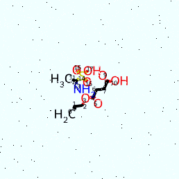 C=CCOC(=O)CCC(=O)O.CC(N)S(=O)(=O)O